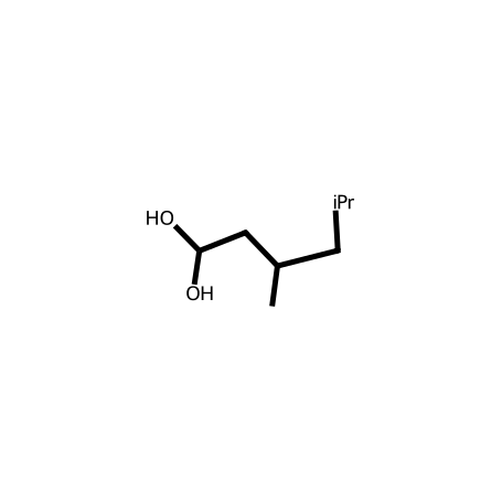 CC(C)CC(C)CC(O)O